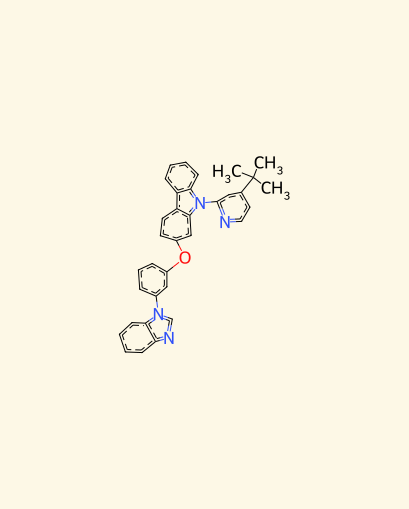 CC(C)(C)c1ccnc(-n2c3ccccc3c3ccc(Oc4cccc(-n5cnc6ccccc65)c4)cc32)c1